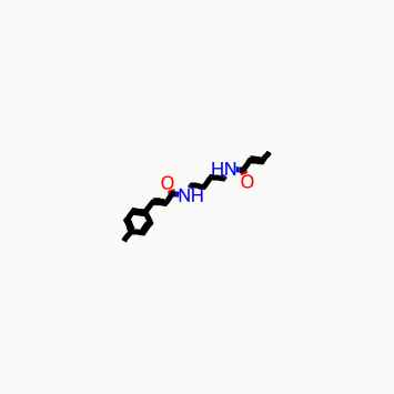 C/C=C/C(=O)NCCCCNC(=O)/C=C/c1ccc(C)cc1